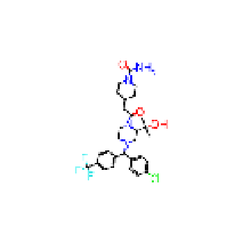 CC(C)(O)[C@H]1CN(C(c2ccc(Cl)cc2)c2ccc(C(F)(F)F)cc2)CCN1C(=O)CC1CCN(C(N)=O)CC1